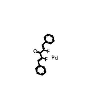 O=C(C(F)=Cc1ccccc1)C(F)=Cc1ccccc1.[Pd]